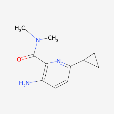 CN(C)C(=O)c1nc(C2CC2)ccc1N